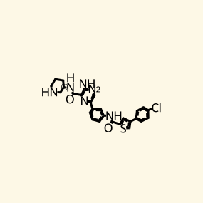 Nc1ncc(-c2cccc(NC(=O)c3cc(-c4ccc(Cl)cc4)cs3)c2)nc1C(=O)N[C@H]1CCCNC1